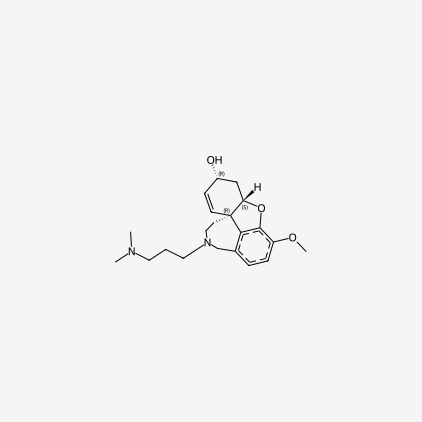 COc1ccc2c3c1O[C@H]1C[C@@H](O)C=C[C@]31CCN(CCCN(C)C)C2